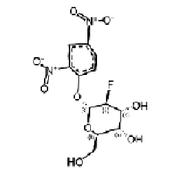 O=[N+]([O-])c1ccc(O[C@H]2O[C@H](CO)[C@@H](O)[C@@H](O)[C@@H]2F)c([N+](=O)[O-])c1